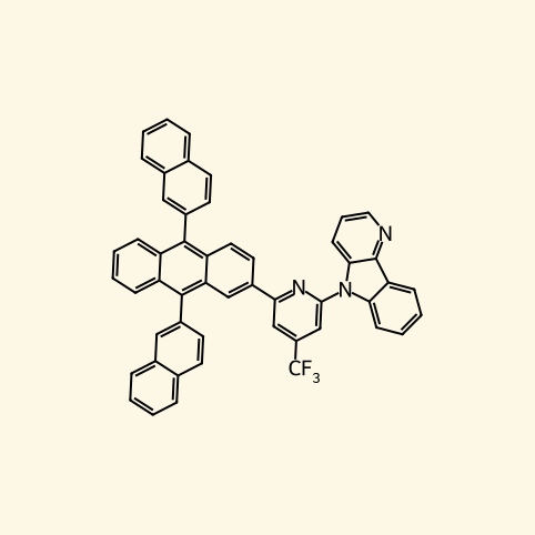 FC(F)(F)c1cc(-c2ccc3c(-c4ccc5ccccc5c4)c4ccccc4c(-c4ccc5ccccc5c4)c3c2)nc(-n2c3ccccc3c3ncccc32)c1